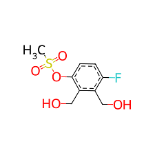 CS(=O)(=O)Oc1ccc(F)c(CO)c1CO